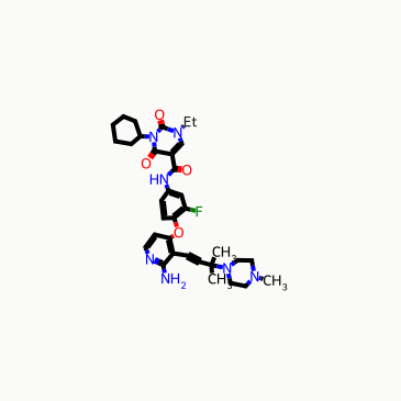 CCn1cc(C(=O)Nc2ccc(Oc3ccnc(N)c3C#CC(C)(C)N3CCN(C)CC3)c(F)c2)c(=O)n(C2CCCCC2)c1=O